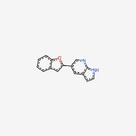 c1ccc2oc(-c3cnc4[nH]ccc4c3)cc2c1